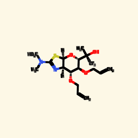 C=CCO[C@@H]1[C@H]2N=C(N(C)C(=O)O)S[C@H]2O[C@H]([C@](C)(O)C(F)(F)F)[C@H]1OCC=C